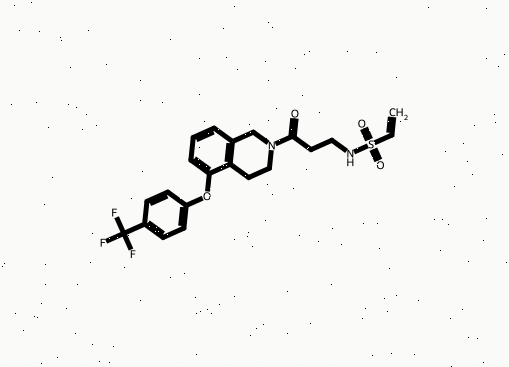 C=CS(=O)(=O)NCCC(=O)N1CCc2c(cccc2Oc2ccc(C(F)(F)F)cc2)C1